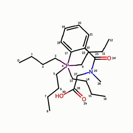 CCCCP(CCCC)(CCCC)(CCCC)c1ccccc1C(=O)N(C)CC(=O)O